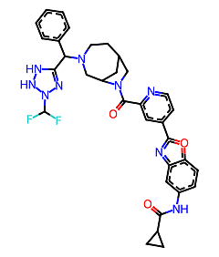 O=C(Nc1ccc2oc(-c3ccnc(C(=O)N4CC5CCN(C(C6=NN(C(F)F)NN6)c6ccccc6)CC4C5)c3)nc2c1)C1CC1